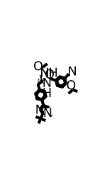 CC(=O)NC[C@H](Cc1ccc(-c2cn(C)c(C(C)(C)C)n2)cc1)NC(=O)c1ccc(OC(C)C)c(C#N)c1